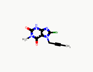 CC#CCn1c(Br)nc2[nH]c(=O)n(C)c(=O)c21